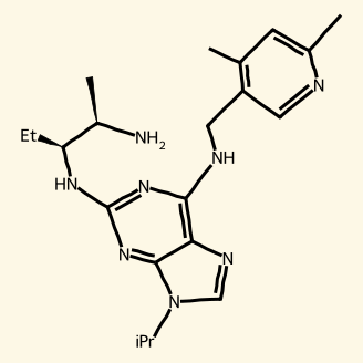 CC[C@H](Nc1nc(NCc2cnc(C)cc2C)c2ncn(C(C)C)c2n1)[C@@H](C)N